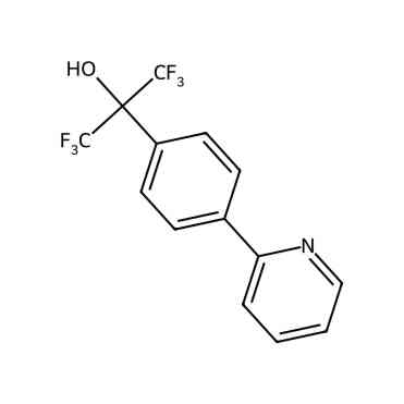 OC(c1ccc(-c2ccccn2)cc1)(C(F)(F)F)C(F)(F)F